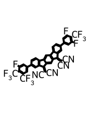 N#CC(C#N)=C1c2cc(-c3cc(F)c(C(F)(F)F)c(F)c3)ccc2-c2cc3c(cc21)C(=C(C#N)C#N)c1cc(-c2cc(F)c(C(F)(F)F)c(C(F)(F)F)c2)ccc1-3